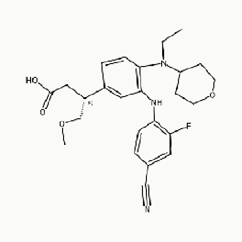 CCN(c1ccc([C@H](COC)CC(=O)O)cc1Nc1ccc(C#N)cc1F)C1CCOCC1